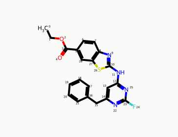 CCOC(=O)c1ccc2nc(Nc3cc(Cc4ccccc4)nc(F)n3)sc2c1